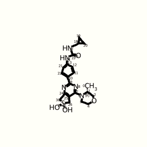 C[C@@H]1COCCN1c1nc(-c2ccc(NC(=O)NC3CC3)cc2)nc2c1CS(O)(O)C2